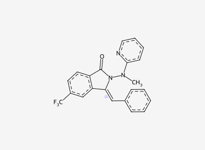 CN(c1ccccn1)N1C(=O)c2ccc(C(F)(F)F)cc2/C1=C/c1ccccc1